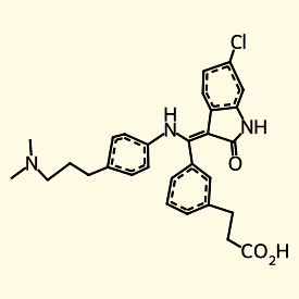 CN(C)CCCc1ccc(NC(=C2C(=O)Nc3cc(Cl)ccc32)c2cccc(CCC(=O)O)c2)cc1